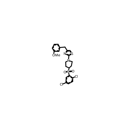 COc1cccc(Cc2csc(N3CCC(S(=O)(=O)c4cc(Cl)ccc4Cl)CC3)n2)c1